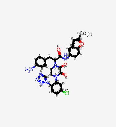 Nc1ccc(CC(C(=O)Nc2ccc3oc(C(=O)O)cc3c2)N2CCN(c3cc(Cl)ccc3-n3cnnn3)C(=O)C2=O)cc1